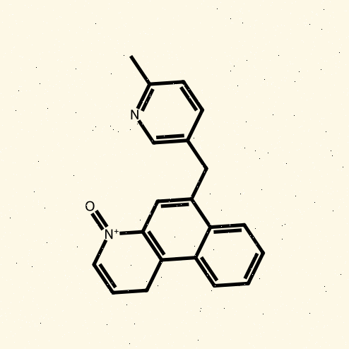 Cc1ccc(Cc2cc3c(c4ccccc24)CC=C[N+]3=O)cn1